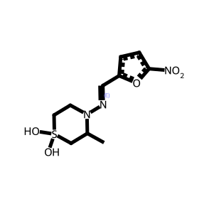 CC1CS(O)(O)CCN1/N=C/c1ccc([N+](=O)[O-])o1